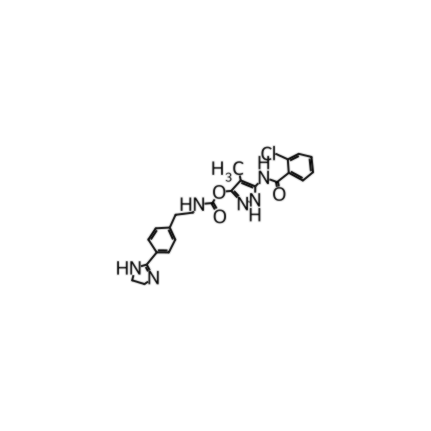 Cc1c(OC(=O)NCCc2ccc(C3=NCCN3)cc2)n[nH]c1NC(=O)c1ccccc1Cl